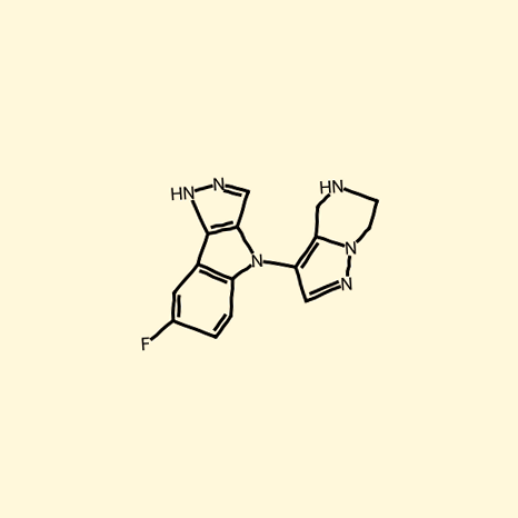 Fc1ccc2c(c1)c1[nH]ncc1n2-c1cnn2c1CNCC2